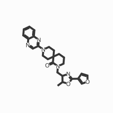 CC1OC(c2ccoc2)=NC1CN1CCCC2(CCN(c3cnc4ccccc4n3)CC2)C1=O